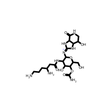 NCCCC(N)CC(=O)NC1C(/N=C2/NC3C(=O)NCC(O)C3N2)OC(CO)C(OC(N)=O)C1O